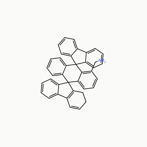 NCc1cccc2c1C1(c3ccccc3-c3ccccc31)c1ccccc1C21C2=C(C=CCC2)c2ccccc21